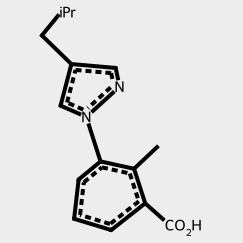 Cc1c(C(=O)O)cccc1-n1cc(CC(C)C)cn1